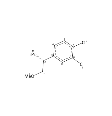 COC[C@@H](c1ccc(Cl)c(Cl)c1)C(C)C